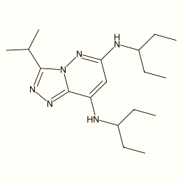 CCC(CC)Nc1cc(NC(CC)CC)c2nnc(C(C)C)n2n1